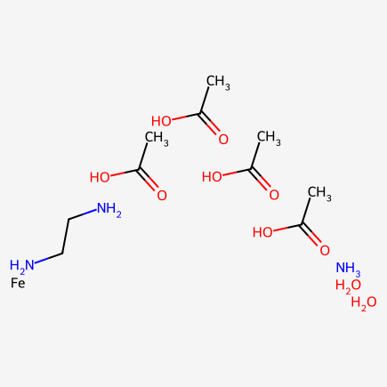 CC(=O)O.CC(=O)O.CC(=O)O.CC(=O)O.N.NCCN.O.O.[Fe]